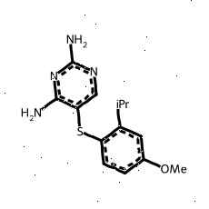 COc1ccc(Sc2cnc(N)nc2N)c(C(C)C)c1